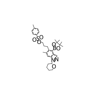 Cc1ccc(S(=O)(=O)OCCCc2c(C)cc3c(cnn3C3CCCCO3)c2B2OC(C)(C)C(C)(C)O2)cc1